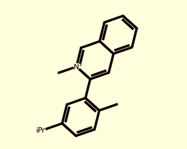 Cc1ccc(C(C)C)cc1-c1cc2ccccc2c[n+]1C